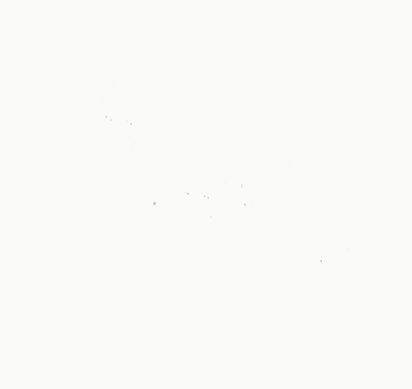 CN(C)c1ccc(/C=C(\NC(=O)c2ccccc2)C(=O)N/N=C/c2cc(/N=N/c3ccccc3)ccc2O)cc1